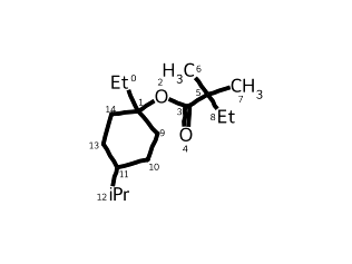 CCC1(OC(=O)C(C)(C)CC)CCC(C(C)C)CC1